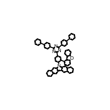 c1ccc(-c2ccc(-c3nc(-c4ccc(-c5ccccc5)cc4)nc(-c4ccc(-n5c6cc7ccccc7cc6c6cc7ccccc7cc65)c(-c5cccc6oc7ccccc7c56)c4)n3)cc2)cc1